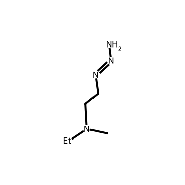 CCN(C)CCN=NN